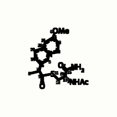 COc1ccc2cc(C(C)C(=O)SC[C@@H](NC(C)=O)C(N)=O)ccc2c1